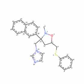 CN1OC(CSc2ccccc2)CC1(Cn1ccnc1)c1ccc2ccccc2c1